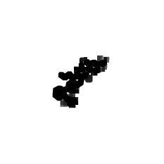 CCCCc1nc(C)n(-c2ncc(C(F)(F)F)cc2Cl)c(=O)c1Cc1ccc(-c2ccccc2-c2nnn[nH]2)cn1